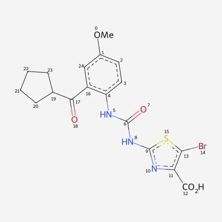 COc1ccc(NC(=O)Nc2nc(C(=O)O)c(Br)s2)c(C(=O)C2CCCC2)c1